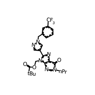 CCCn1cnc2c(nc(-c3cnn(Cc4cccc(C(F)(F)F)c4)c3)n2COC(=O)C(C)(C)C)c1=O